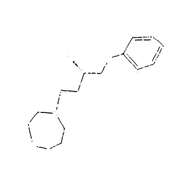 N[C@H](CCN1CCCOCC1)CSc1ccccc1